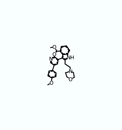 COC(=O)c1cccc2[nH]c(CCN3CCOCC3)c(-c3cncc(-c4ccc(OC)cc4)c3)c12